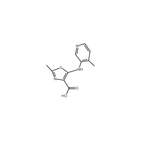 Cc1nc(C(=O)O)c(Nc2cnccc2C)s1